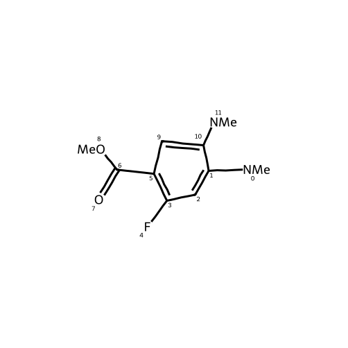 CNc1cc(F)c(C(=O)OC)cc1NC